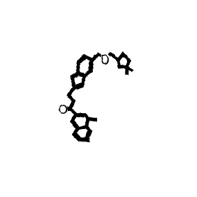 C=C1C=C(C(=O)CCC2=CC3C=C(COCC4CCC(C)(C)C4)C=CC3=C2)C=C2C=CC=CC12